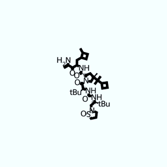 C=C(N)C(=O)C(CC1CCC1C)NC(=O)[C@@H]1C[C@](C)(C(C)(C)C2CCC2)CN1C(=O)[C@@H](NC(=O)N[C@H](CN1CCC[S+]1[O-])C(C)(C)C)C(C)(C)C